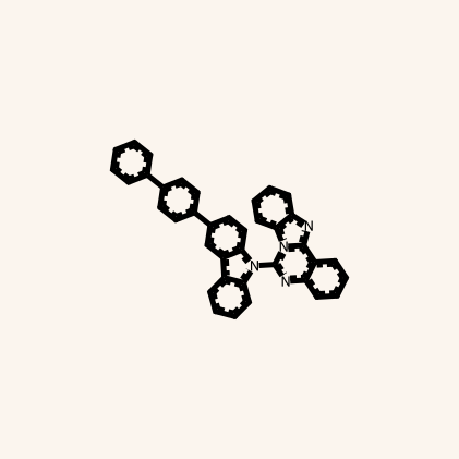 c1ccc(-c2ccc(-c3ccc4c(c3)c3ccccc3n4-c3nc4ccccc4c4nc5ccccc5n34)cc2)cc1